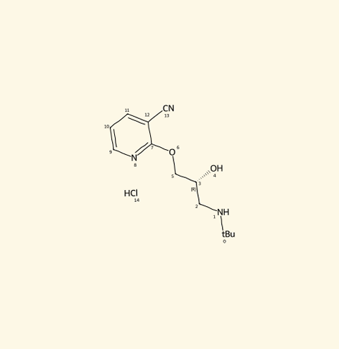 CC(C)(C)NC[C@@H](O)COc1ncccc1C#N.Cl